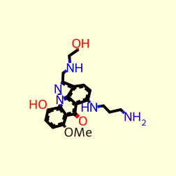 COc1ccc(O)c2c1c(=O)c1c(NCCCN)ccc3c(CNCCO)nn2c31